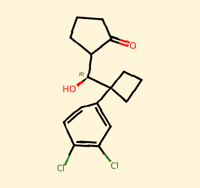 O=C1CCCC1[C@H](O)C1(c2ccc(Cl)c(Cl)c2)CCC1